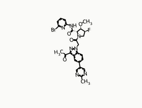 CO[C@H]1[C@@H](C(=O)Nc2cccc(Br)n2)N(C(=O)Cn2nc(C(C)=O)c3cc(-c4cnc(C)nc4)ccc32)C[C@@H]1F